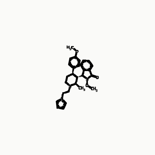 COc1ccc([C@@H]2CCN(CCn3cccc3)[C@H](C)[C@H]2C2c3ccccc3C(=O)N2OC)cc1